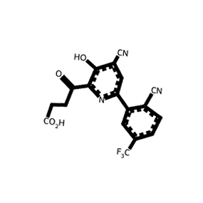 N#Cc1ccc(C(F)(F)F)cc1-c1cc(C#N)c(O)c(C(=O)CCC(=O)O)n1